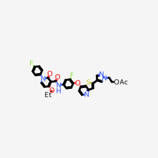 CCOc1ccn(-c2ccc(F)cc2)c(=O)c1C(=O)Nc1ccc(Oc2ccnc3cc(-c4cnn(CCOC(C)=O)c4)sc23)c(F)c1